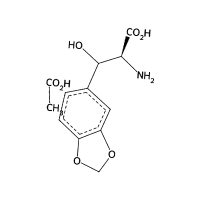 CC(=O)O.N[C@H](C(=O)O)C(O)c1ccc2c(c1)OCO2